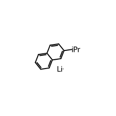 CC(C)c1ccc2ccccc2c1.[Li]